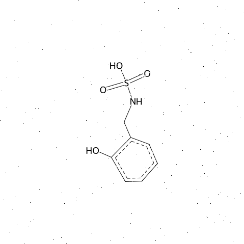 O=S(=O)(O)NCc1ccccc1O